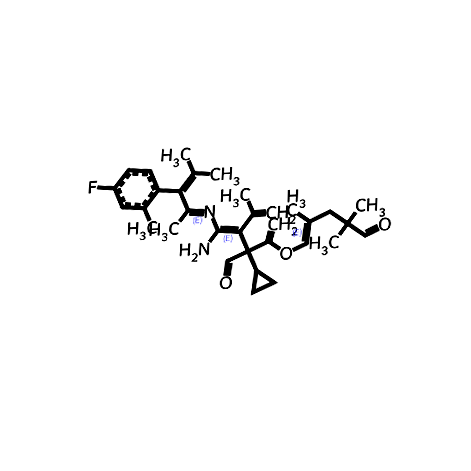 C=C(C)/C(=C(N)\N=C(/C)C(=C(C)C)c1ccc(F)cc1C)C(C=O)(C(=C)O/C=C(\C)CC(C)(C)C=O)C1CC1